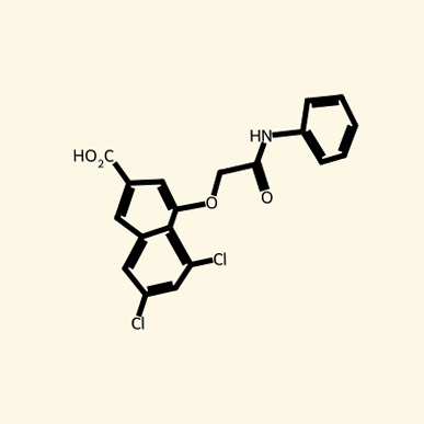 O=C(COc1cc(C(=O)O)cc2cc(Cl)cc(Cl)c12)Nc1ccccc1